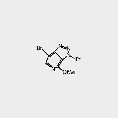 COc1ncc(Br)c2nnn(C(C)C)c12